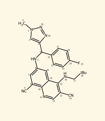 Cn1cc(C(Nc2cc(C#N)c3ncc(C#N)c(NCC(C)(C)C)c3c2)c2ccc(F)cc2)nn1